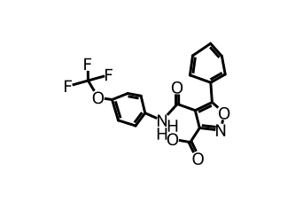 O=C(O)c1noc(-c2ccccc2)c1C(=O)Nc1ccc(OC(F)(F)F)cc1